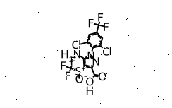 Nc1c([S+]([O-])C(F)(F)F)c(C(=O)O)nn1-c1c(Cl)cc(C(F)(F)F)cc1Cl